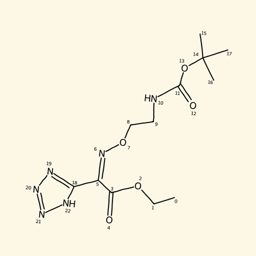 CCOC(=O)C(=NOCCNC(=O)OC(C)(C)C)c1nnn[nH]1